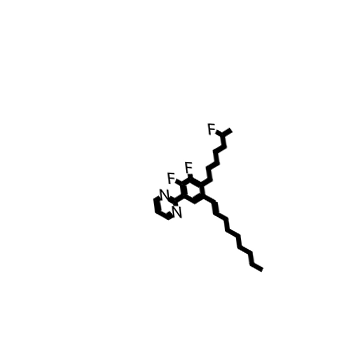 CCCCCCCC=Cc1cc(-c2ncccn2)c(F)c(F)c1CCCCCC(C)F